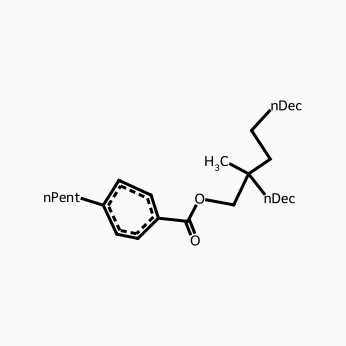 CCCCCCCCCCCCC(C)(CCCCCCCCCC)COC(=O)c1ccc(CCCCC)cc1